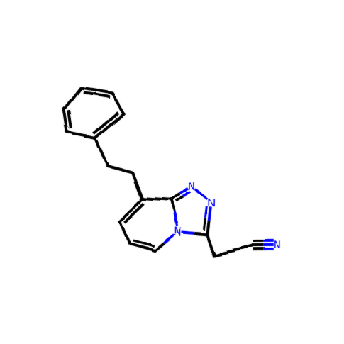 N#CCc1nnc2c(CCc3ccccc3)cccn12